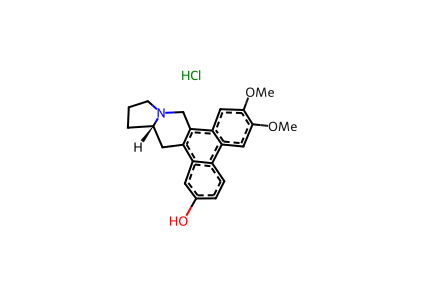 COc1cc2c3c(c4cc(O)ccc4c2cc1OC)C[C@@H]1CCCN1C3.Cl